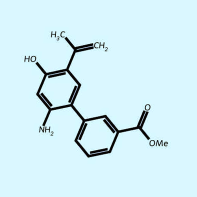 C=C(C)c1cc(-c2cccc(C(=O)OC)c2)c(N)cc1O